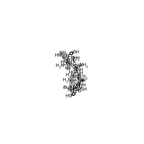 CC[C@H](C)[C@H](N)C(=O)N[C@H](C(=O)N[C@@H](Cc1ccc(O)cc1)C(=O)N[C@H](C(=O)N[C@@H](CC(N)=O)C(=O)N[C@@H](CCCNC(=N)N)C(=O)N[C@@H](CCN)C(=O)N[C@H](C(=O)N[C@H](CCN)C(=O)N[C@@H](CCCCN)C(=O)N[C@@H](CS)C(=O)N[C@@H](CCN)C(=O)N[C@@H](CCCNC(=N)N)C(=O)N[C@@H](Cc1ccc(O)cc1)C(=O)O)[C@@H](C)O)C(C)(C)S)[C@@H](C)O